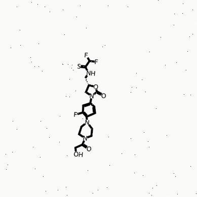 O=C(CO)N1CCN(c2ccc(N3C[C@H](CNC(=S)C(F)F)OC3=O)cc2F)CC1